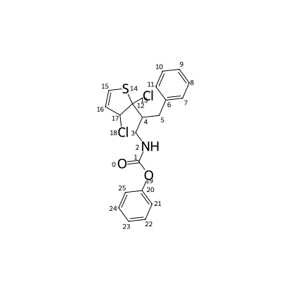 O=C(NCC(Cc1ccccc1)C1(Cl)SC=CC1Cl)Oc1ccccc1